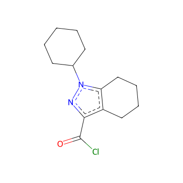 O=C(Cl)c1nn(C2CCCCC2)c2c1CCCC2